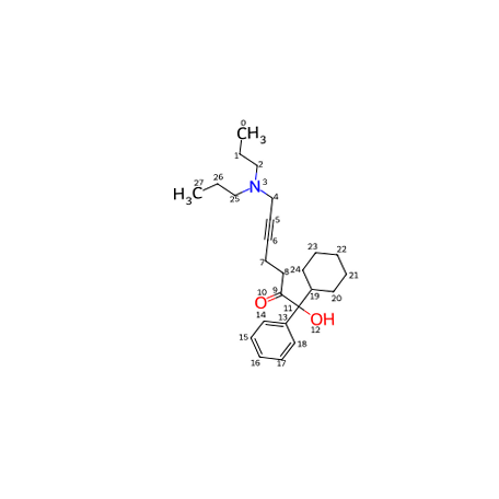 CCCN(CC#CCCC(=O)C(O)(c1ccccc1)C1CCCCC1)CCC